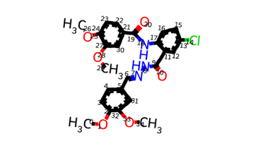 COc1ccc(C=NNC(=O)c2cc(Cl)ccc2NC(=O)c2ccc(OC)c(OC)c2)cc1OC